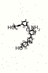 CC(C)(O)C#Cc1cccc(COc2cc(-c3cnn(N4CCN(O)CC4)c3)cnc2N)c1